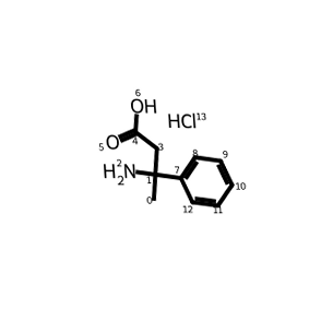 CC(N)(CC(=O)O)c1ccccc1.Cl